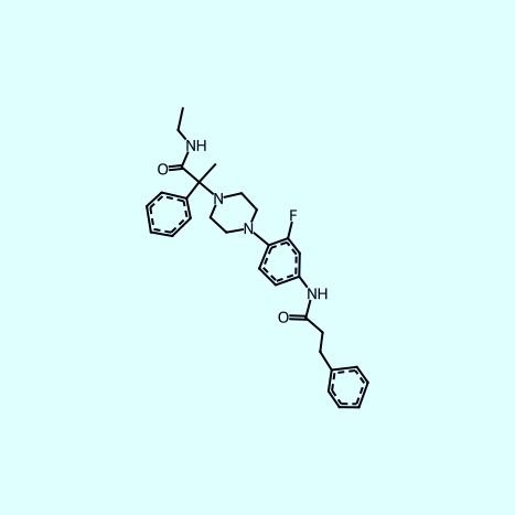 CCNC(=O)C(C)(c1ccccc1)N1CCN(c2ccc(NC(=O)CCc3ccccc3)cc2F)CC1